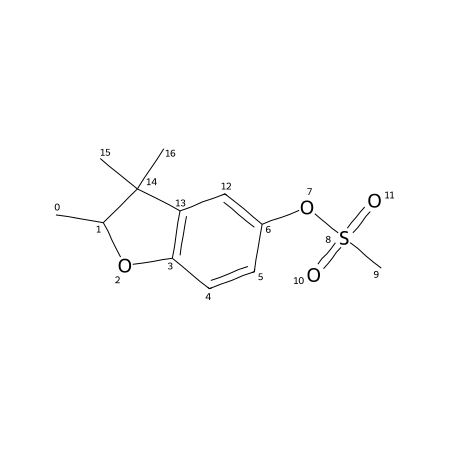 CC1Oc2ccc(OS(C)(=O)=O)cc2C1(C)C